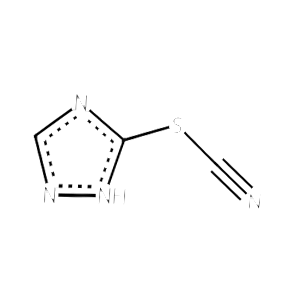 N#CSc1ncn[nH]1